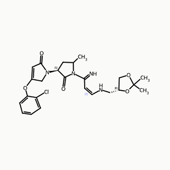 CC1C[C@H](N2CC(Oc3ccccc3Cl)=CC2=O)C(=O)N1C(=N)/C=C\NC[C@@H]1COC(C)(C)O1